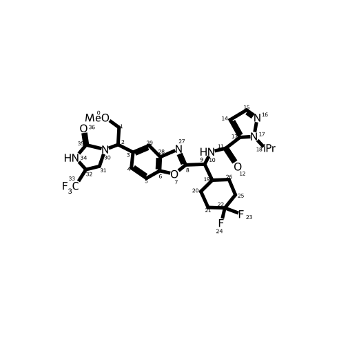 COCC(c1ccc2oc(C(NC(=O)c3ccnn3C(C)C)C3CCC(F)(F)CC3)nc2c1)N1CC(C(F)(F)F)NC1=O